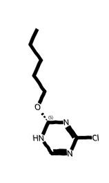 CCCCCO[C@@H]1N=C(Cl)N=[C]N1